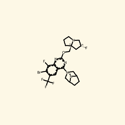 CN1C2CCC1CN(c1nc(OC[C@@]34CCCN3C[C@H](F)C4)nc3c(F)c(Br)c(C(F)(F)F)cc13)C2